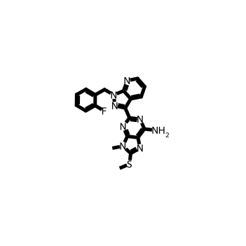 CSc1nc2c(N)nc(-c3nn(Cc4ccccc4F)c4ncccc34)nc2n1C